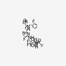 O=C(NNC(O)C(O)(CNc1nc(-c2cc(-c3ccon3)n(Cc3ccccc3F)n2)ncc1F)C(F)(F)F)C1CC1